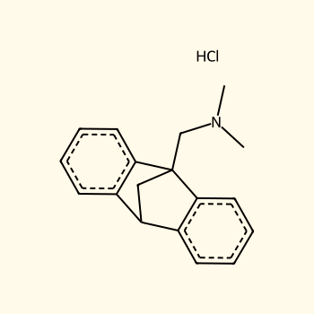 CN(C)CC12CC(c3ccccc31)c1ccccc12.Cl